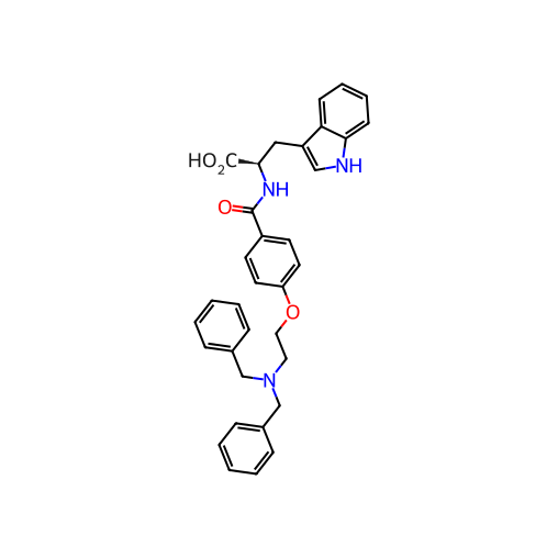 O=C(N[C@H](Cc1c[nH]c2ccccc12)C(=O)O)c1ccc(OCCN(Cc2ccccc2)Cc2ccccc2)cc1